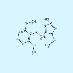 C=Cn1ccnc1.CCc1cccc(CC)c1CC.Cl